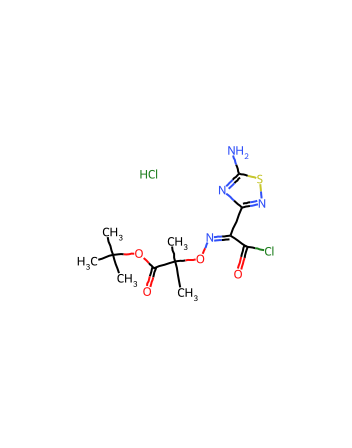 CC(C)(C)OC(=O)C(C)(C)O/N=C(\C(=O)Cl)c1nsc(N)n1.Cl